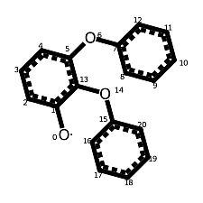 [O]c1cccc(Oc2ccccc2)c1Oc1ccccc1